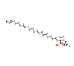 CCC=CCC=CCC=CCC=CCC=CCCCCSC1(C(=O)O)CCC1CC